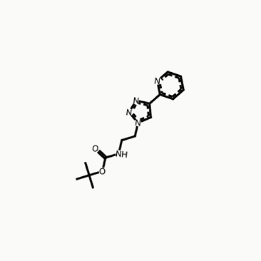 CC(C)(C)OC(=O)NCCn1cc(-c2ccccn2)nn1